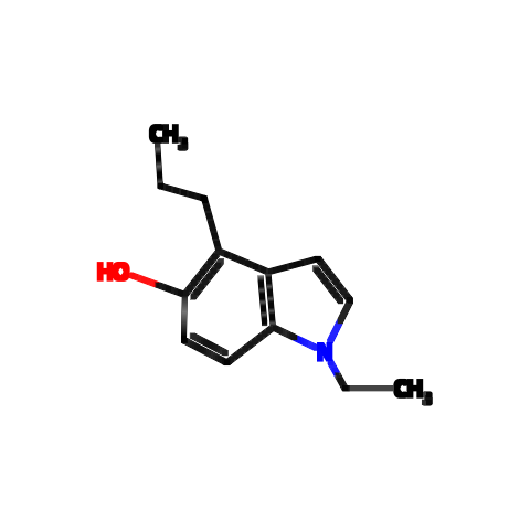 CCCc1c(O)ccc2c1ccn2CC